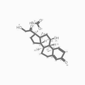 CCCCC(=O)O[C@@]1(C(=O)CO)CC[C@H]2[C@@H]3CCC4=CC(=O)C=C[C@]4(C)[C@H]3[C@H](O)C[C@@]21C